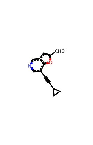 O=Cc1cc2cncc(C#CC3CC3)c2o1